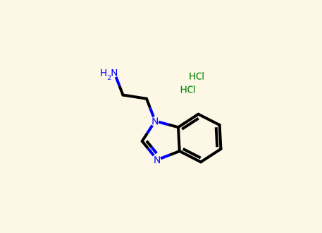 Cl.Cl.NCCn1cnc2ccccc21